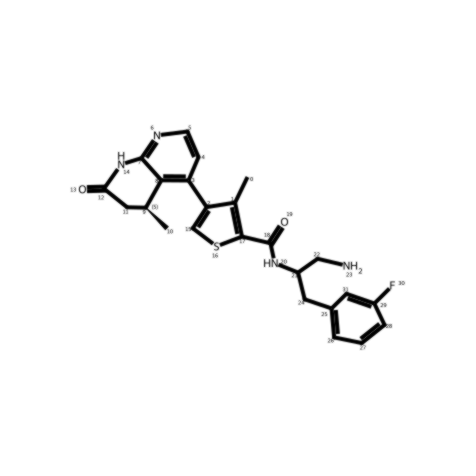 Cc1c(-c2ccnc3c2[C@@H](C)CC(=O)N3)csc1C(=O)NC(CN)Cc1cccc(F)c1